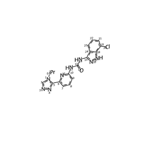 CC(C)n1cnnc1-c1cccc(NC(=O)Nc2n[nH]c3c(Cl)cccc23)n1